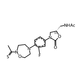 CC(=O)NC[C@H]1CN(c2ccc(N3CCON(C(C)=S)CC3)c(F)c2)C(=O)O1